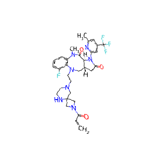 C=CC(=O)N1CC2(CN(CCN3C[C@H]4CC(=O)N(c5cc(C(F)(F)F)cc(C)n5)[C@@H]4C(=O)N(C)c4cccc(F)c43)CCN2)C1